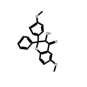 COc1ccc(C2(c3ccccc3)Oc3ccc(OC)cc3C(=O)C2O)cc1